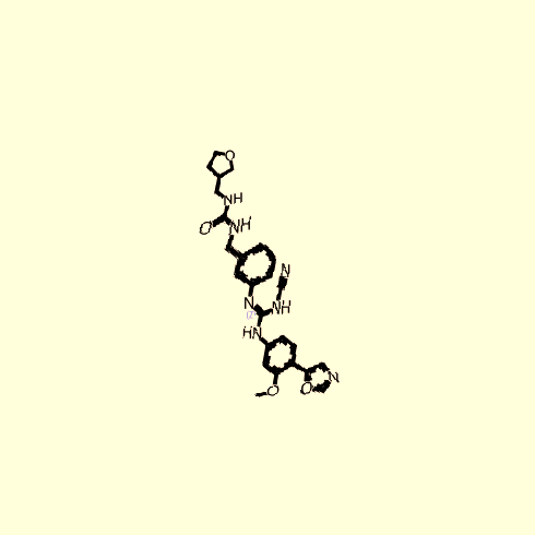 COc1cc(N/C(=N/c2cccc(CNC(=O)NCC3CCOC3)c2)NC#N)ccc1-c1cnco1